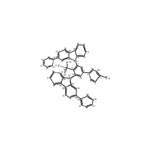 Fc1ccc(-c2cc(-n3c4ccccc4c4ccc(-c5ccccc5)cc43)c(C(F)(F)F)c(-n3c4ccccc4c4ccc(-c5ccccc5)cc43)c2)cc1